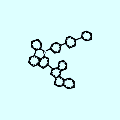 c1ccc(-c2ccc(-c3ccc(N(c4cccc(-c5cc6ccc7ccccc7c6c6ccccc56)c4)c4ccccc4-c4ccccc4)cc3)cc2)cc1